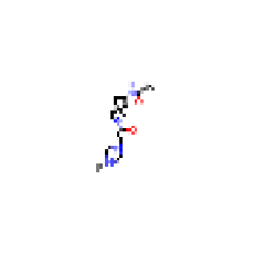 CCN1CCN(CCC(=O)N2CCC3(CC[C@H](NC(=O)C(C)C)C3)C2)CC1